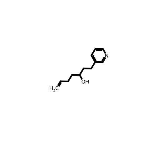 C=CCCC(O)CCc1cccnc1